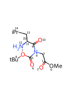 COC(=O)CN(C(=O)OC(C)(C)C)C(=O)[C@@H](N)CC(C)C